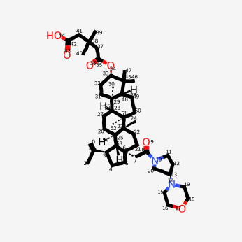 C=C(C)[C@@H]1CC[C@]2(CC(=O)N3CC[C@H](N4CCOCC4)C3)CC[C@]3(C)[C@H](CC[C@@H]4[C@@]5(C)CC[C@H](OC(=O)CC(C)(C)CC(=O)O)C(C)(C)[C@@H]5CC[C@]43C)[C@@H]12